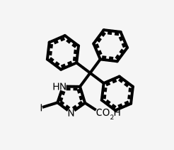 O=C(O)c1nc(I)[nH]c1C(c1ccccc1)(c1ccccc1)c1ccccc1